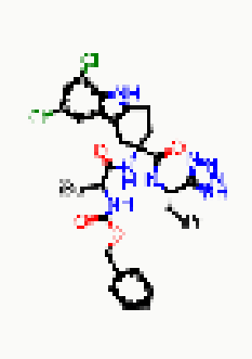 CCC(C)C(NC(=O)OCc1ccccc1)C(=O)N[C@]1(C(=O)N[C@@H](CC(C)C)c2nnn[nH]2)CCc2[nH]c3c(Cl)cc(Cl)cc3c2C1